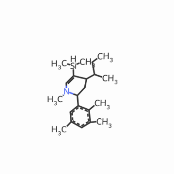 CCC(C)C1CC(c2cc(C)cc(C)c2C)N(C)C=C1[SiH](C)C